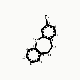 Fc1ccc2c(c1)Oc1ccccc1CC2